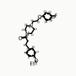 CCOc1ccc(CCC(=O)N2CCN(CCOc3ccc(F)cc3)CC2)cc1